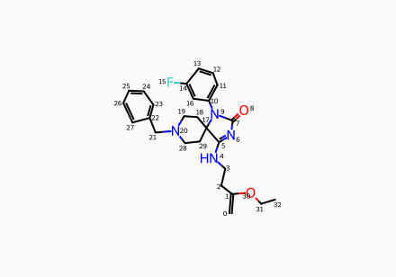 C=C(CCNC1=NC(=O)N(c2cccc(F)c2)C12CCN(Cc1ccccc1)CC2)OCC